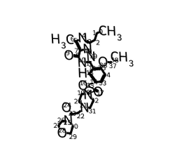 CCCc1nc(C)c2c(=O)[nH]c(-c3cc(S(=O)(=O)N4CCN(CC(=O)N5CCOCC5)CC4)ccc3OCC)nn12